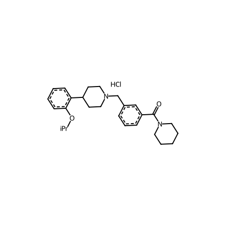 CC(C)Oc1ccccc1C1CCN(Cc2cccc(C(=O)N3CCCCC3)c2)CC1.Cl